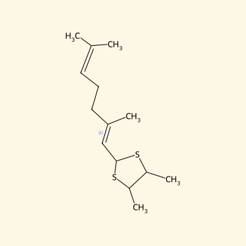 CC(C)=CCC/C(C)=C/C1SC(C)C(C)S1